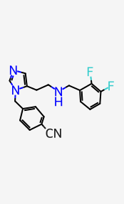 N#Cc1ccc(Cn2cncc2CCNCc2cccc(F)c2F)cc1